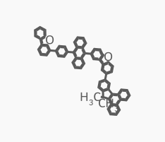 CC1(C)c2ccc(-c3ccc4oc5ccc(-c6c7ccccc7c(-c7ccc(-c8cccc9c8oc8ccccc89)cc7)c7ccccc67)cc5c4c3)cc2-c2c1c1ccccc1c1ccccc21